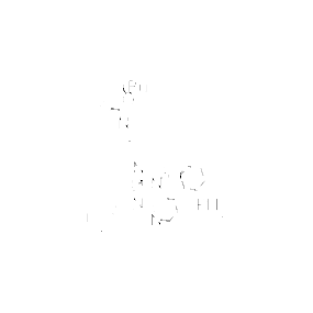 CC1(P)CCN(c2nccc(-c3ccccc3P)c2N(S)C(=O)N2CCC3(CC2)CN(C(=O)OC(C)(C)C)C3)C1